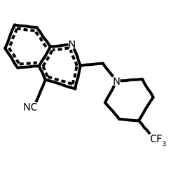 N#Cc1cc(CN2CCC(C(F)(F)F)CC2)nc2ccccc12